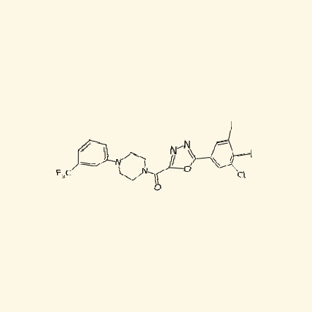 O=C(c1nnc(-c2cc(Cl)c(I)c(I)c2)o1)N1CCN(c2cccc(C(F)(F)F)c2)CC1